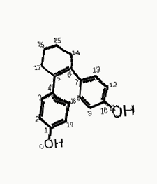 Oc1ccc(C2=C(c3ccc(O)cc3)CCCC2)cc1